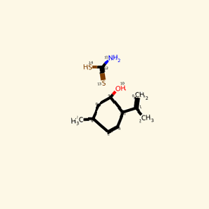 C=C(C)C1CCC(C)CC1O.NC(=S)S